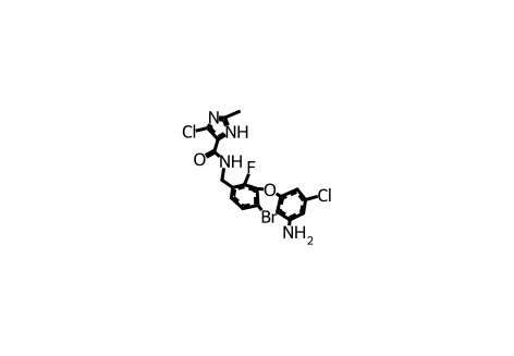 Cc1nc(Cl)c(C(=O)NCc2ccc(Br)c(Oc3cc(N)cc(Cl)c3)c2F)[nH]1